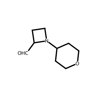 O=CC1CCN1C1CCOCC1